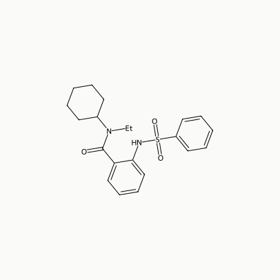 CCN(C(=O)c1ccccc1NS(=O)(=O)c1ccccc1)C1CCCCC1